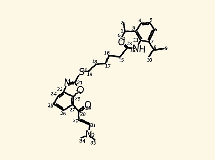 CC(C)c1cccc(C(C)C)c1NC(=O)CCCCCSc1nc2cccc(C(=O)C=CN(C)C)c2o1